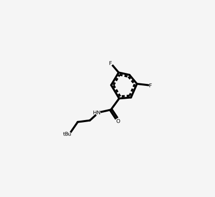 CC(C)(C)CCNC(=O)c1cc(F)cc(F)c1